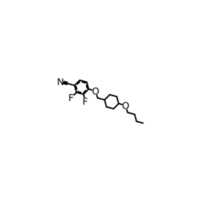 CCCCOC1CCC(COc2ccc(C#N)c(F)c2F)CC1